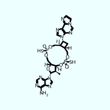 C[C@@H]1[C@@H]2OP(=O)(S)OC[C@H]3C[C@@H](n4cnc5c4ncn4ccnc54)[C@@H]3COP(=O)(S)OC[C@H]2O[C@H]1n1cnc2c(N)ncnc21